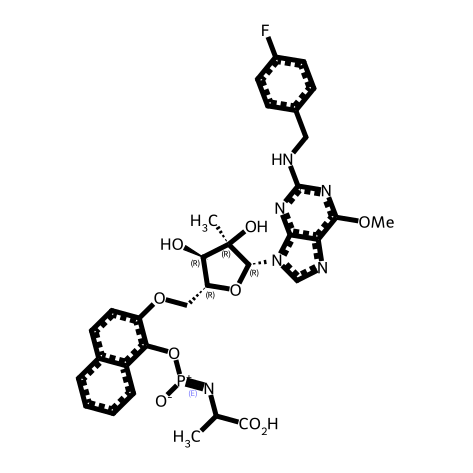 COc1nc(NCc2ccc(F)cc2)nc2c1ncn2[C@@H]1O[C@H](COc2ccc3ccccc3c2O/[P+]([O-])=N/C(C)C(=O)O)[C@@H](O)[C@@]1(C)O